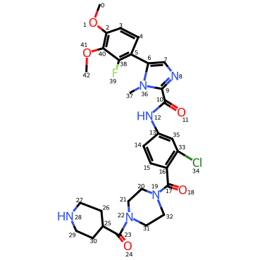 COc1ccc(-c2cnc(C(=O)Nc3ccc(C(=O)N4CCN(C(=O)C5CCNCC5)CC4)c(Cl)c3)n2C)c(F)c1OC